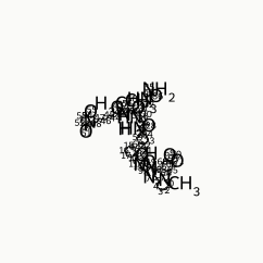 Cc1cccc(-c2nc(CN(Cc3ccccc3)C(=O)OCc3ccc(NC(=O)[C@H](CCCNC(N)=O)NC(=O)C(NC(=O)CCCCCN4C(=O)C=CC4=O)C(C)C)cc3)[nH]c2-c2ccc3c(c2)OCO3)n1